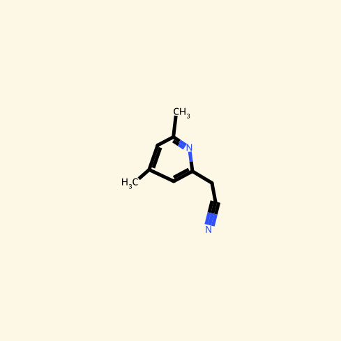 Cc1cc(C)nc(CC#N)c1